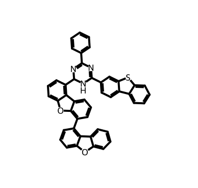 c1ccc(C2=NC(c3cccc4oc5c(-c6cccc7oc8ccccc8c67)cccc5c34)NC(c3ccc4c(c3)sc3ccccc34)=N2)cc1